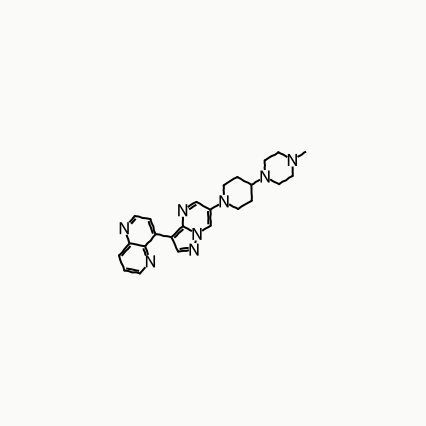 CN1CCN(C2CCN(c3cnc4c(-c5ccnc6cccnc56)cnn4c3)CC2)CC1